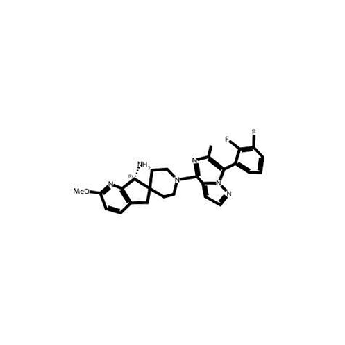 COc1ccc2c(n1)[C@H](N)C1(CCN(c3nc(C)c(-c4cccc(F)c4F)n4nccc34)CC1)C2